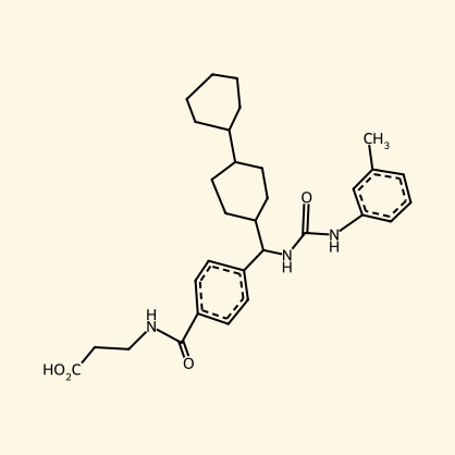 Cc1cccc(NC(=O)NC(c2ccc(C(=O)NCCC(=O)O)cc2)C2CCC(C3CCCCC3)CC2)c1